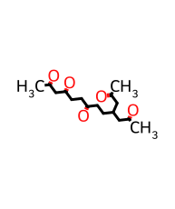 CC(=O)CC(=O)CCC(=O)CCC(CC(C)=O)CC(C)=O